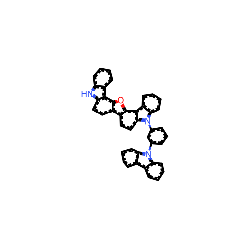 c1cc(-n2c3ccccc3c3ccccc32)cc(-n2c3ccccc3c3c4oc5c(ccc6[nH]c7ccccc7c65)c4ccc32)c1